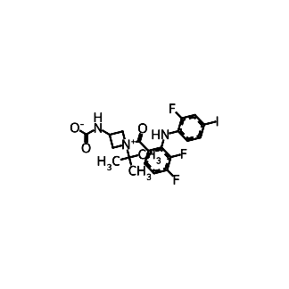 CC(C)(C)[N+]1(C(=O)c2ccc(F)c(F)c2Nc2ccc(I)cc2F)CC(NC(=O)[O-])C1